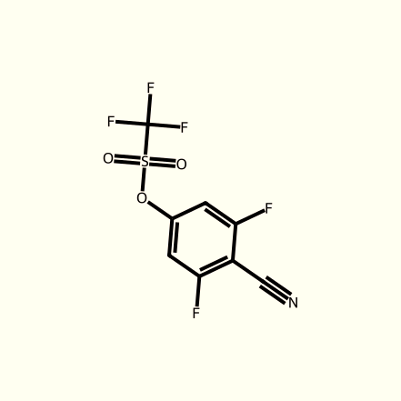 N#Cc1c(F)cc(OS(=O)(=O)C(F)(F)F)cc1F